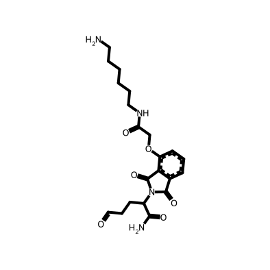 NCCCCCCNC(=O)COc1cccc2c1C(=O)N(C(CCC=O)C(N)=O)C2=O